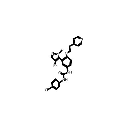 Cn1ncc(Br)c1-c1cc(NC(=O)Nc2ccc(Cl)cc2)ccc1OCCc1ccncc1